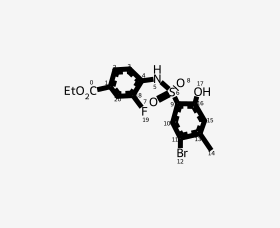 CCOC(=O)c1ccc(NS(=O)(=O)c2cc(Br)c(C)cc2O)c(F)c1